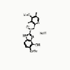 COc1ccc2[nH]c([S+]([O-])Cc3ncc(C)c(OC)c3C)nc2c1O.[NaH]